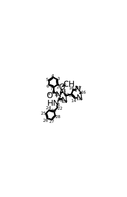 COc1ccccc1C(=O)n1nc(-c2cncnc2)nc1NCc1ccccc1